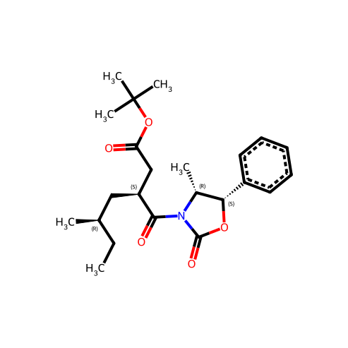 CC[C@@H](C)C[C@@H](CC(=O)OC(C)(C)C)C(=O)N1C(=O)O[C@@H](c2ccccc2)[C@H]1C